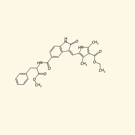 CCOC(=O)c1c(C)[nH]c(/C=C2\C(=O)Nc3ccc(C(=O)NC(Cc4ccccc4)C(=O)OC)cc32)c1C